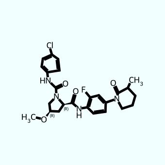 CO[C@@H]1C[C@H](C(=O)Nc2ccc(N3CCCC(C)C3=O)cc2F)N(C(=O)Nc2ccc(Cl)cc2)C1